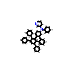 c1ccc(-c2cc(-c3ccccc3)c3c4ccccc4c4cc(N(c5ccccc5)c5cccnc5)ccc4c3c2-c2ccccc2)cc1